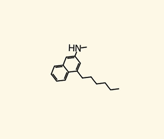 CCCCCCc1cc(NC)cc2ccccc12